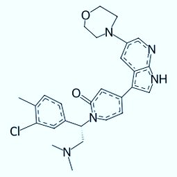 Cc1ccc([C@@H](CN(C)C)n2ccc(-c3c[nH]c4ncc(N5CCOCC5)cc34)cc2=O)cc1Cl